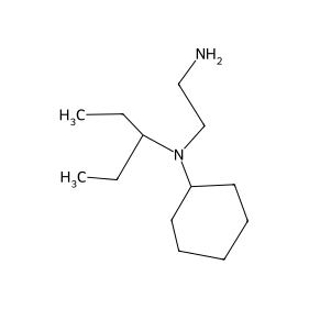 CCC(CC)N(CCN)C1CCCCC1